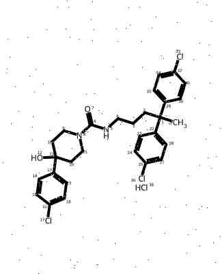 CC(CCCNC(=O)N1CCC(O)(c2ccc(Cl)cc2)CC1)(c1ccc(Cl)cc1)c1ccc(Cl)cc1.Cl